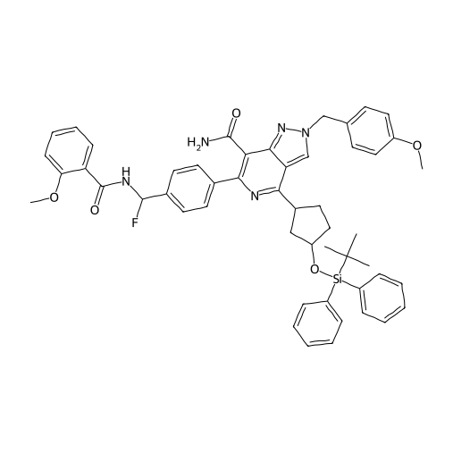 COc1ccc(Cn2cc3c(C4CCC(O[Si](c5ccccc5)(c5ccccc5)C(C)(C)C)C4)nc(-c4ccc(C(F)NC(=O)c5ccccc5OC)cc4)c(C(N)=O)c3n2)cc1